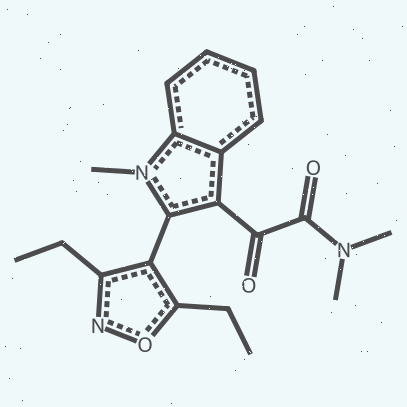 CCc1noc(CC)c1-c1c(C(=O)C(=O)N(C)C)c2ccccc2n1C